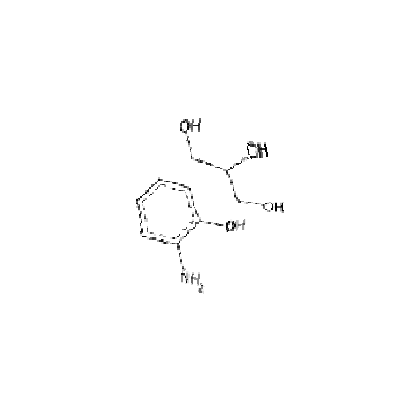 Nc1ccccc1O.OCC(O)CO